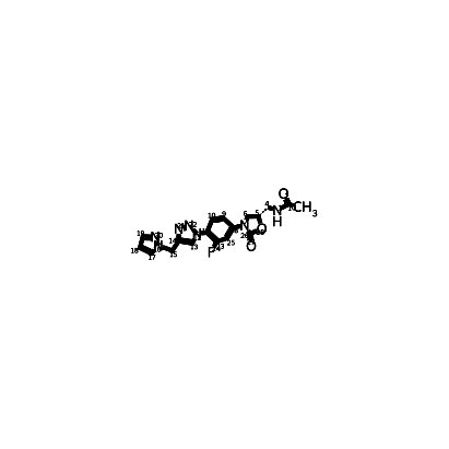 CC(=O)NC[C@H]1CN(c2ccc(-n3cc(Cn4cccn4)nn3)c(F)c2)C(=O)O1